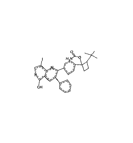 CC(C)(C)C1CCC1(OC(N)=O)c1ccc(-c2nc3c(I)cnc(O)c3cc2-c2ccccc2)cc1